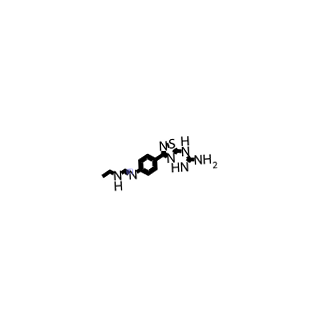 CCN/C=N/c1ccc(-c2nsc(NC(=N)N)n2)cc1